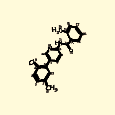 Cc1ccc(Cl)c(-c2ccc(NC(=O)c3ccccc3C)nc2)c1